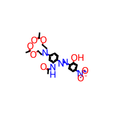 CC(=O)Nc1cc(N(CCOC(C)=O)CCOC(C)=O)ccc1N=Nc1ccc([N+](=O)[O-])cc1O